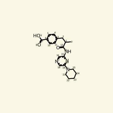 CC(Cc1ccc(C(=O)O)cc1)C(=O)Nc1cncc(N2CCCCC2)n1